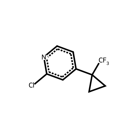 FC(F)(F)C1(c2ccnc(Cl)c2)CC1